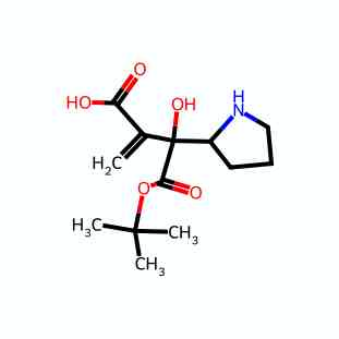 C=C(C(=O)O)C(O)(C(=O)OC(C)(C)C)C1CCCN1